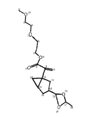 C=C(C(=O)OCCOCCOC)C12CC(C3OC(C)O3)CC1C2